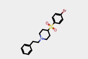 O=S(=O)(c1ccc(Br)cc1)C1CCN(CCc2ccccc2)CC1